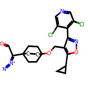 [N-]=[N+]=C(C=O)C12CCC(OCc3c(-c4c(Cl)cncc4Cl)noc3C3CC3)(CC1)CC2